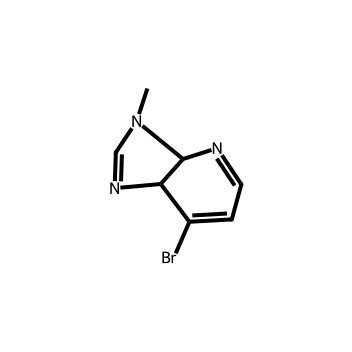 CN1C=NC2C(Br)=CC=NC21